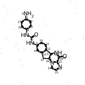 Nc1ccc(NC(=O)Nc2ccc3c(c2)Cc2c-3[nH]c(=O)c3nccn23)cc1